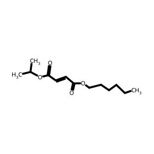 CCCCCCOC(=O)C=CC(=O)OC(C)C